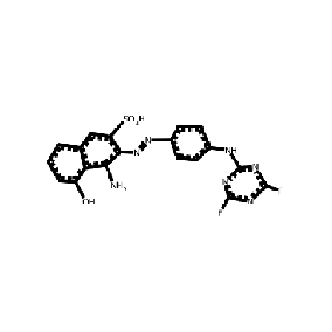 Nc1c(N=Nc2ccc(Nc3nc(F)nc(F)n3)cc2)c(S(=O)(=O)O)cc2cccc(O)c12